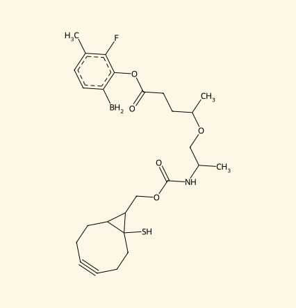 Bc1ccc(C)c(F)c1OC(=O)CCC(C)OCC(C)NC(=O)OCC1C2CCC#CCCC21S